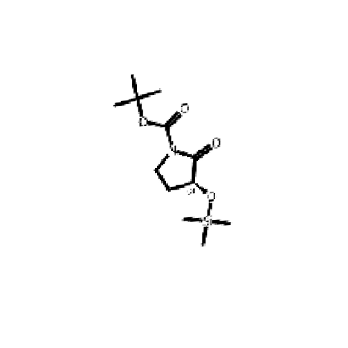 CC(C)(C)OC(=O)N1CC[C@H](O[Si](C)(C)C)C1=O